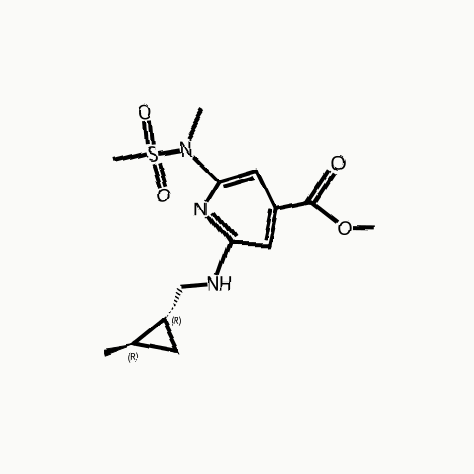 COC(=O)c1cc(NC[C@@H]2C[C@H]2C)nc(N(C)S(C)(=O)=O)c1